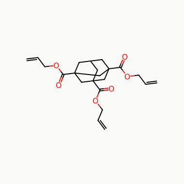 C=CCOC(=O)C12CC3CC(C(=O)OCC=C)(C1)CC(C(=O)OCC=C)(C3)C2